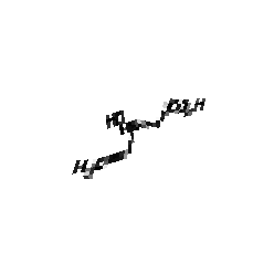 C=CNCC(=O)O.Cl